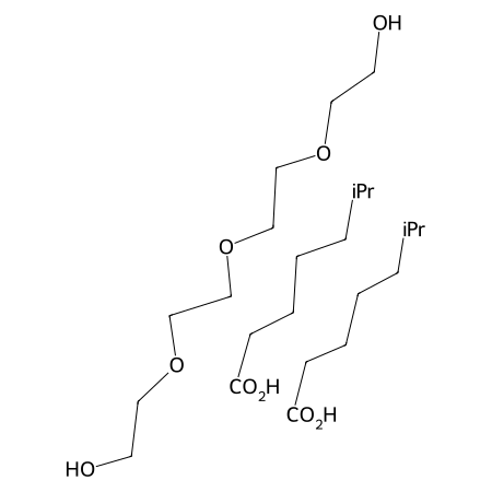 CC(C)CCCCC(=O)O.CC(C)CCCCC(=O)O.OCCOCCOCCOCCO